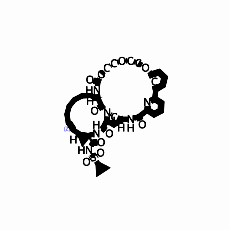 O=C1N[C@H]2CCCCC/C=C\[C@@H]3C[C@@]3(C(=O)NS(=O)(=O)C3CC3)NC(=O)[C@@H]3C[C@H](CN3C2=O)NC(=O)c2cccc(n2)-c2cccc(c2)OCCOCCO1